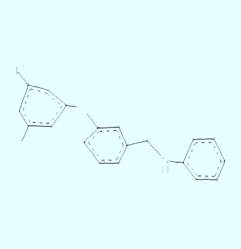 Clc1cc(Cl)cc(Oc2cccc(CNc3ccccc3)c2)c1